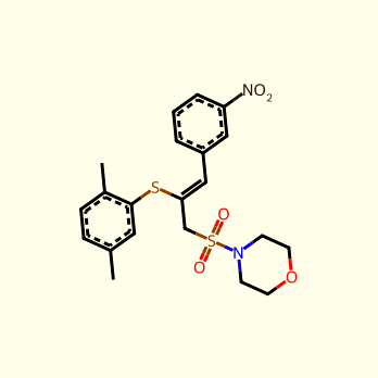 Cc1ccc(C)c(SC(=Cc2cccc([N+](=O)[O-])c2)CS(=O)(=O)N2CCOCC2)c1